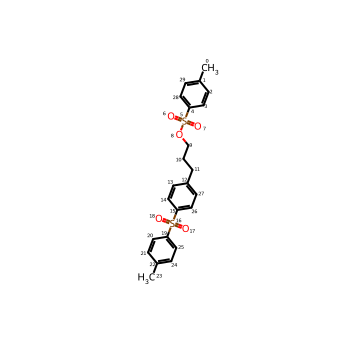 Cc1ccc(S(=O)(=O)OCCCc2ccc(S(=O)(=O)c3ccc(C)cc3)cc2)cc1